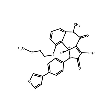 COCCOc1cccc2c1[C@@H]1C(=C(O)C(=O)N1c1ccc(-c3ccoc3)cc1)C(=O)C2C